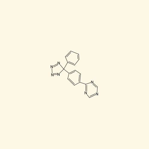 c1ccc(C2(c3ccc(-c4ncncn4)cc3)N=NN=N2)cc1